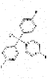 Fc1ccc([C]([Sn])(c2ccc(F)cc2)c2ccc(F)cc2)cc1